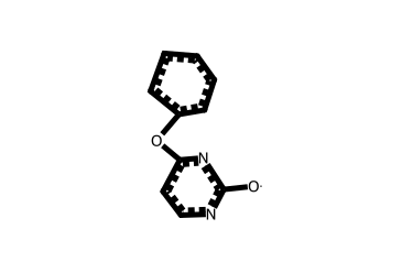 [O]c1nccc(Oc2ccccc2)n1